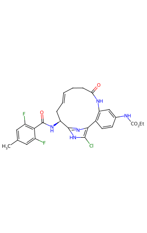 CCOC(=O)Nc1ccc2c(c1)NC(=O)CC/C=C/C[C@H](NC(=O)c1c(F)cc(C)cc1F)c1nc-2c(Cl)[nH]1